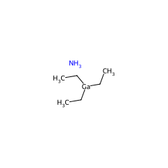 C[CH2][Ga]([CH2]C)[CH2]C.N